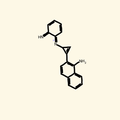 N=C1C=CC=C/C1=N\C1C=C1c1ccc2ccccc2c1N